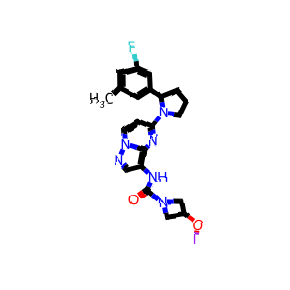 Cc1cc(F)cc(C2CCCN2c2ccn3ncc(NC(=O)N4CC(OI)C4)c3n2)c1